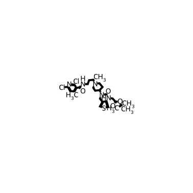 Cc1cc(Cl)nc(Cl)c1C(=O)NCC[C@@H](C)N1CCC(N(Cc2ccsc2)C(=O)NCC(=O)OC(C)(C)C)CC1